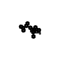 CC1(C)c2ccccc2-c2cccc(N(c3ccc(-c4ccccc4)cc3)c3ccc(-c4cc(-n5c6ccccc6c6ccccc65)cc5ccccc45)cc3)c21